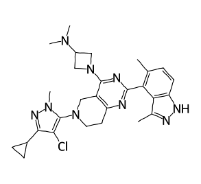 Cc1ccc2[nH]nc(C)c2c1-c1nc2c(c(N3CC(N(C)C)C3)n1)CN(c1c(Cl)c(C3CC3)nn1C)CC2